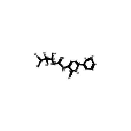 O=C(Nc1ccc(-c2cccnc2)oc1=O)NC(F)C(F)(F)C(F)F